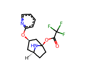 O=C(O[C@]12CC[C@@H](C[C@@H](Oc3ccccn3)C1)N2)C(F)(F)F